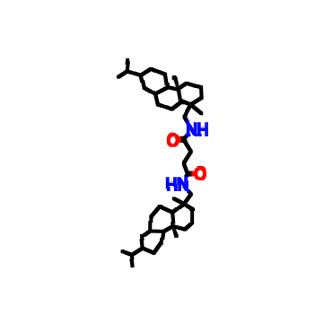 CC(C)C1CCC2C(CCC3C(C)(CNC(=O)CCC(=O)NCC4(C)CCC[C@]5(C)C6CCC(C(C)C)CC6CCC45)CCC[C@@]23C)C1